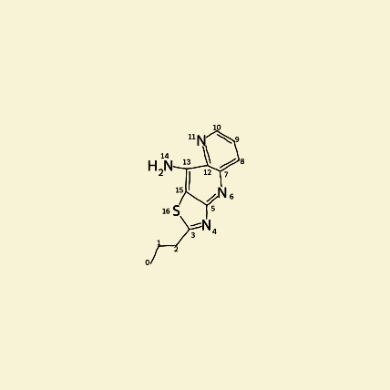 CCCc1nc2nc3cccnc3c(N)c2s1